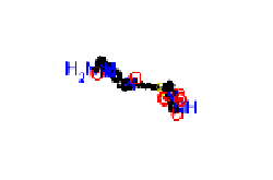 NC(=O)c1cccc2cn(-c3ccc([C@@H]4CCCN(C(=O)CCCCCCSc5cccc6c5C(=O)N(C5CCC(=O)NC5=O)C6=O)C4)cc3)nc12